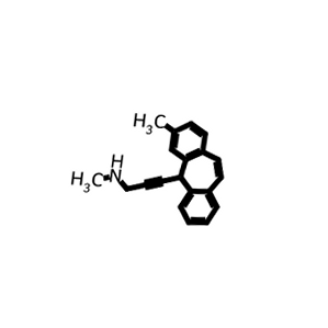 CNCC#CC1c2ccccc2C=Cc2ccc(C)cc21